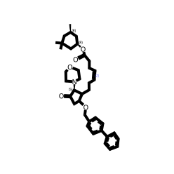 C[C@H]1C[C@@H](OC(=O)CC/C=C\CCC2C(OCc3ccc(-c4ccccc4)cc3)CC(=O)[C@H]2N2CCOCC2)CC(C)(C)C1